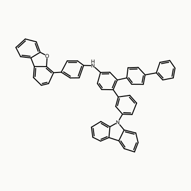 c1ccc(-c2ccc(-c3cc(Nc4ccc(-c5cccc6c5oc5ccccc56)cc4)ccc3-c3cccc(-n4c5ccccc5c5ccccc54)c3)cc2)cc1